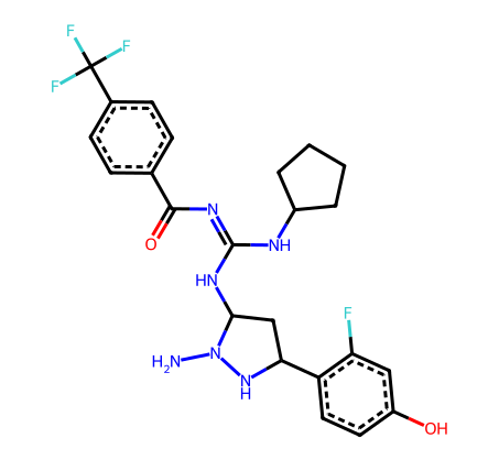 NN1NC(c2ccc(O)cc2F)CC1N/C(=N\C(=O)c1ccc(C(F)(F)F)cc1)NC1CCCC1